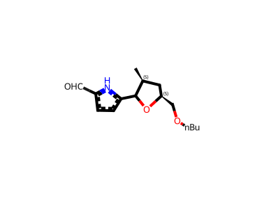 CCCCOC[C@@H]1C[C@H](C)C(c2ccc(C=O)[nH]2)O1